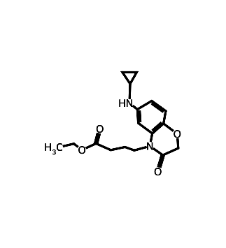 CCOC(=O)CCCN1C(=O)COc2ccc(NC3CC3)cc21